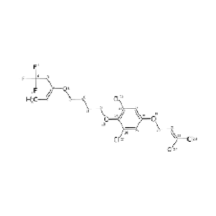 CC=C(CC(F)(F)F)OCCCCOc1c(Cl)cc(OCC=C(Cl)Cl)cc1Cl